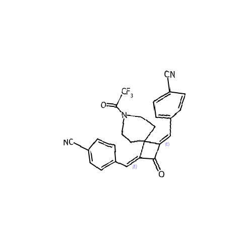 N#Cc1ccc(/C=C2/C(=O)/C(=C/c3ccc(C#N)cc3)C23CCN(C(=O)C(F)(F)F)CC3)cc1